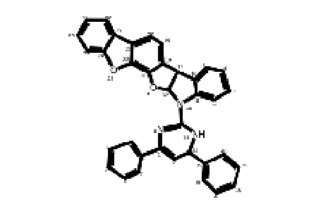 C1=C(c2ccccc2)N=C(N2c3ccccc3C3c4ccc5c(oc6ccccc65)c4OC32)NC1c1ccccc1